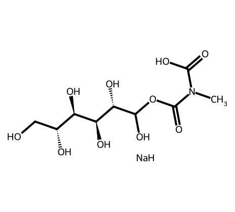 CN(C(=O)O)C(=O)OC(O)[C@@H](O)[C@@H](O)[C@H](O)[C@H](O)CO.[NaH]